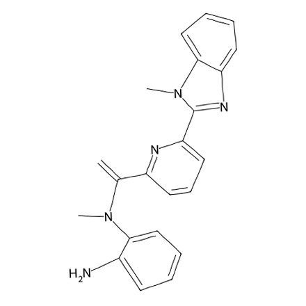 C=C(c1cccc(-c2nc3ccccc3n2C)n1)N(C)c1ccccc1N